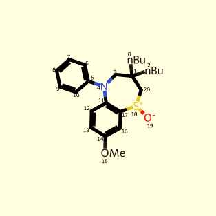 CCCCC1(CCCC)CN(c2ccccc2)c2ccc(OC)cc2[S+]([O-])C1